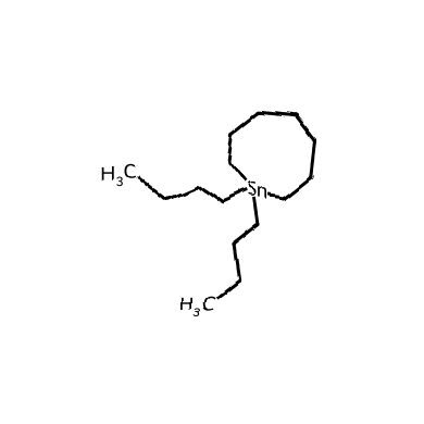 CCC[CH2][Sn]1([CH2]CCC)[CH2]CCCCC[CH2]1